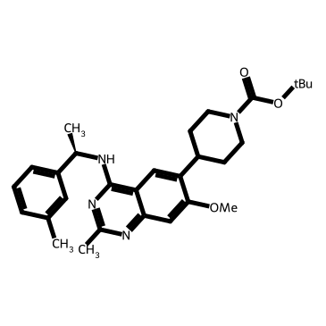 COc1cc2nc(C)nc(N[C@H](C)c3cccc(C)c3)c2cc1C1CCN(C(=O)OC(C)(C)C)CC1